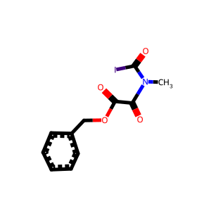 CN(C(=O)I)C(=O)C(=O)OCc1ccccc1